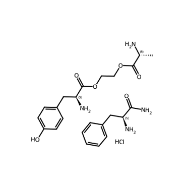 C[C@@H](N)C(=O)OCCOC(=O)[C@@H](N)Cc1ccc(O)cc1.Cl.NC(=O)[C@@H](N)Cc1ccccc1